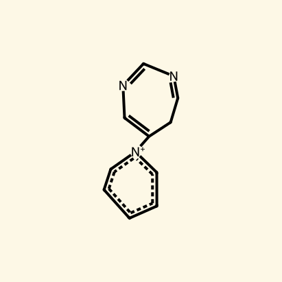 C1=NC=NC=C([n+]2ccccc2)C1